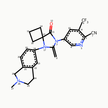 C=C1N(c2cnc(C#N)c(C(F)(F)F)c2)C(=O)C2(CCC2)N1c1ccc2c(c1)CCN(C)C2